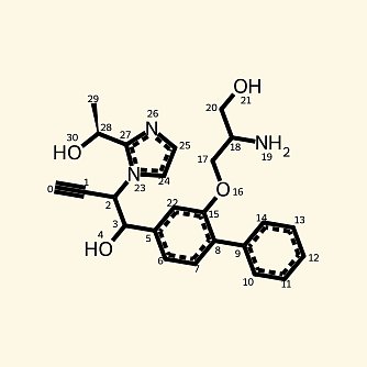 C#CC(C(O)c1ccc(-c2ccccc2)c(OCC(N)CO)c1)n1ccnc1[C@H](C)O